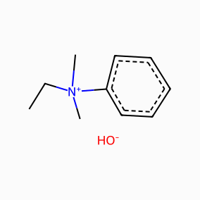 CC[N+](C)(C)c1ccccc1.[OH-]